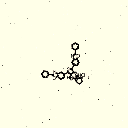 CC12CCC(c3nc4c(-c5ccc6oc(-c7ccccc7)nc6c5)sc(-c5ccc6oc(-c7ccccc7)nc6c5)c4nc31)C2(C)C